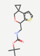 CC(C)(C)OC(=O)NCC1OCC2(CC2)c2ccsc21